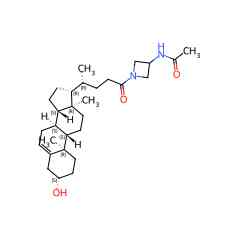 CC(=O)NC1CN(C(=O)CC[C@@H](C)[C@H]2CC[C@H]3[C@@H]4CC=C5C[C@@H](O)CC[C@]5(C)[C@H]4CC[C@]23C)C1